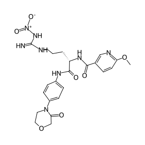 COc1ccc(C(=O)N[C@@H](CCCNC(=N)N[N+](=O)[O-])C(=O)Nc2ccc(N3CCOCC3=O)cc2)cn1